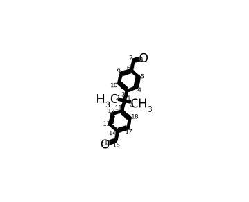 CC(C)(c1ccc(C=O)cc1)c1ccc(C=O)cc1